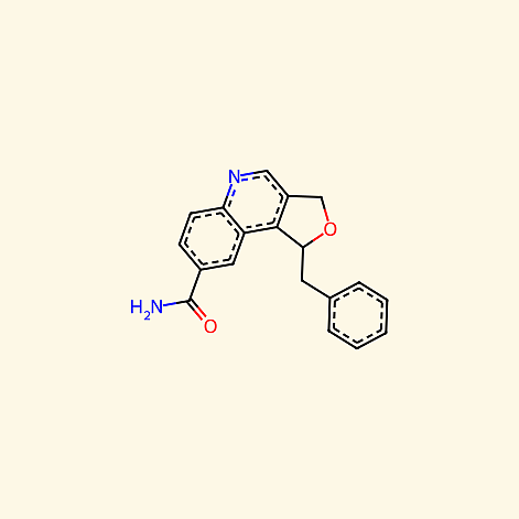 NC(=O)c1ccc2ncc3c(c2c1)C(Cc1ccccc1)OC3